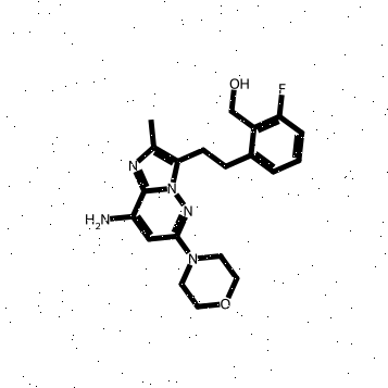 Cc1nc2c(N)cc(N3CCOCC3)nn2c1CCc1cccc(F)c1CO